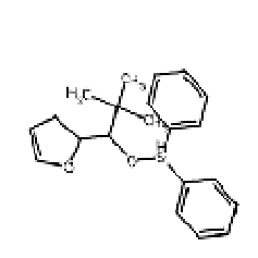 CC(C)(C)C(O[SiH](c1ccccc1)c1ccccc1)C1CC=CO1